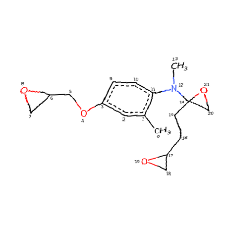 Cc1cc(OCC2CO2)ccc1N(C)C1(CCC2CO2)CO1